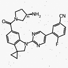 N#Cc1ccc(F)c(-c2cnc(N3CC4(CC4)c4ccc(C(=O)N5CC[C@@H](N)C5)cc43)nc2)c1